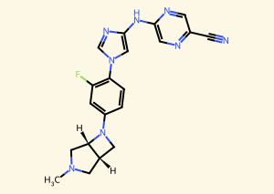 CN1C[C@H]2CN(c3ccc(-n4cnc(Nc5cnc(C#N)cn5)c4)c(F)c3)[C@H]2C1